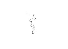 CCOC(=O)COc1c(C(=O)OC)sc(-c2cccc(OCC3CCN(C(=O)Nc4ccccc4)CC3)c2)c1Br